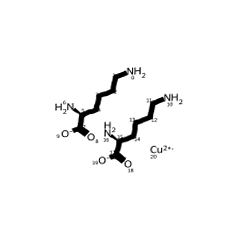 NCCCC[C@H](N)C(=O)[O-].NCCCC[C@H](N)C(=O)[O-].[Cu+2]